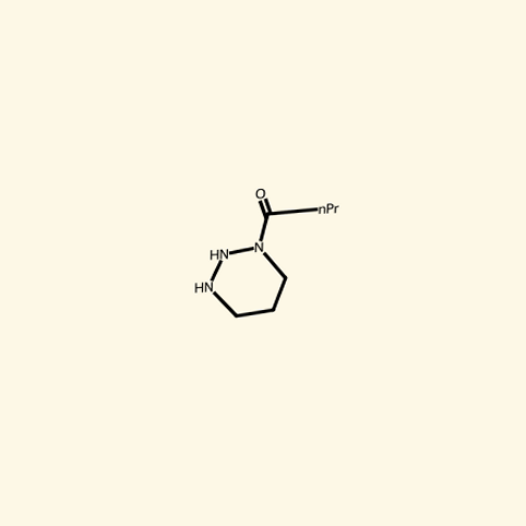 CCCC(=O)N1CCCNN1